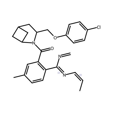 C=N/C(=N\C=C/C)c1ccc(C)cc1C(=O)N1C(COc2ccc(Cl)cc2)CC2CC1C2